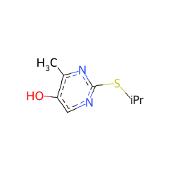 Cc1nc(SC(C)C)ncc1O